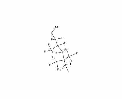 OCC(F)(F)C(F)(C(F)(F)F)C(F)(F)C(C(F)(F)F)(C(F)(F)F)C(F)(F)F